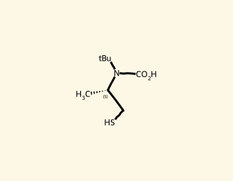 C[C@@H](CS)N(C(=O)O)C(C)(C)C